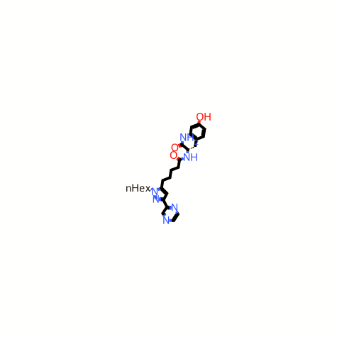 CCCCCCn1nc(-c2cnccn2)cc1CCCCC(=O)N[C@@H](Cc1ccc(O)cc1)C(N)=O